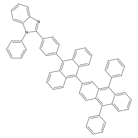 c1ccc(-c2c3ccccc3c(-c3ccccc3)c3cc(-c4c5ccccc5c(-c5ccc(-c6nc7ccccc7n6-c6ccccc6)cc5)c5ccccc45)ccc23)cc1